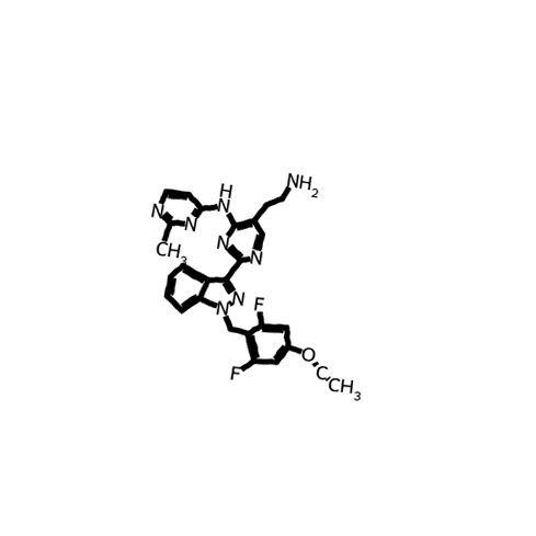 CCOc1cc(F)c(Cn2nc(-c3ncc(CCN)c(Nc4ccnc(C)n4)n3)c3ccccc32)c(F)c1